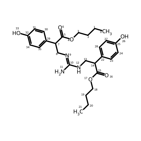 CCCCOC(=O)C(CN=C(N)NCC(C(=O)OCCCC)c1ccc(O)cc1)c1ccc(O)cc1